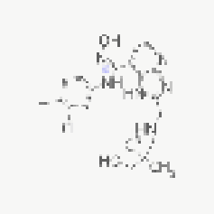 CC(C)(CO)CNCc1nc2nccc(/C(=N\O)Nc3ccc(F)c(Cl)c3)c2[nH]1